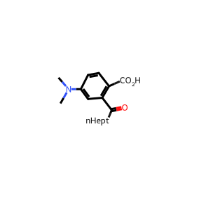 CCCCCCCC(=O)c1cc(N(C)C)ccc1C(=O)O